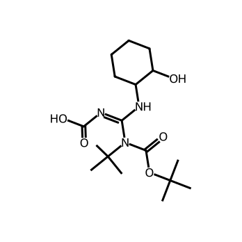 CC(C)(C)OC(=O)N(C(=NC(=O)O)NC1CCCCC1O)C(C)(C)C